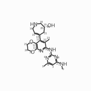 CNc1cc(C)nc(Nc2nc3c(c(C4=CCNC[C@H](O)C4)c2C)OCCO3)n1